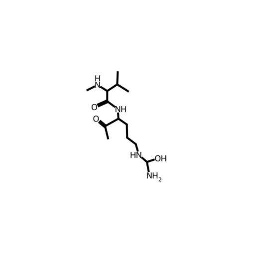 CNC(C(=O)NC(CCCNC(N)O)C(C)=O)C(C)C